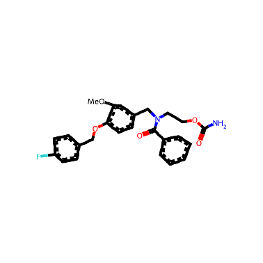 COc1cc(CN(CCOC(N)=O)C(=O)c2ccccc2)ccc1OCc1ccc(F)cc1